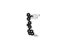 CC(C)(C)c1cc2ccc3ccc(-c4ccc5c(c4)C(C)(C)c4cc(-c6ccc7c(c6)C(CCC(=O)O)(C(=O)O)c6ccccc6-7)ccc4-5)c4ccc(c1)c2c34